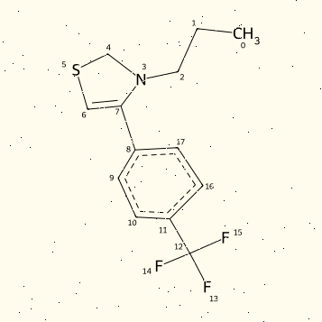 CCCN1CSC=C1c1ccc(C(F)(F)F)cc1